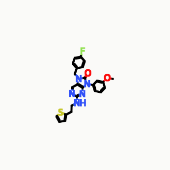 COc1cccc(-n2c(=O)n(Cc3ccc(F)cc3)c3cnc(NCCc4cccs4)nc32)c1